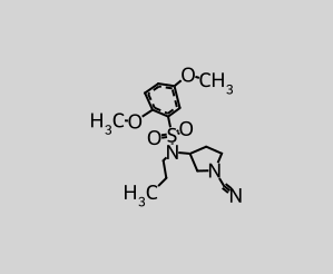 CCCN(C1CCN(C#N)C1)S(=O)(=O)c1cc(OC)ccc1OC